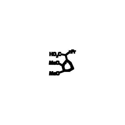 CCCC(C(=O)O)c1cccc(OC)c1OC